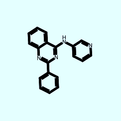 c1ccc(-c2nc(Nc3cccnc3)c3ccccc3n2)cc1